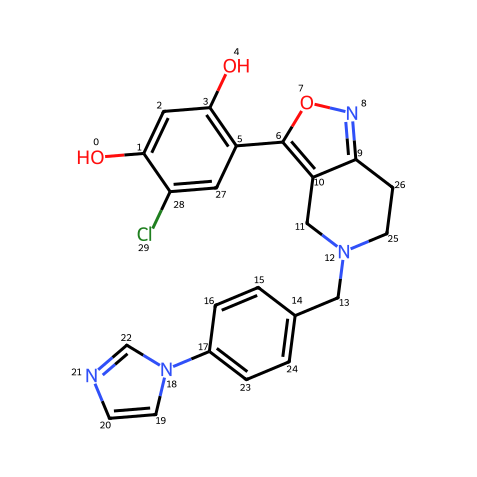 Oc1cc(O)c(-c2onc3c2CN(Cc2ccc(-n4ccnc4)cc2)CC3)cc1Cl